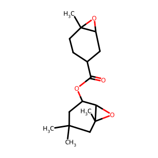 CC1(C)CC(OC(=O)C2CCC3(C)OC3C2)C2OC2(C)C1